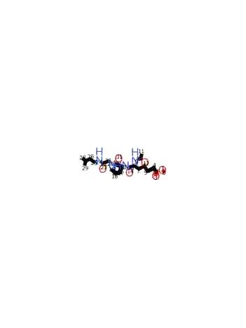 COC(=O)/C=C/CCC(NC(C)=O)C(=O)Nc1cccn(CC(=O)NCCC(C)C)c1=O